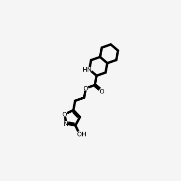 O=C(OCCc1cc(O)no1)C1CC2CCCCC2CN1